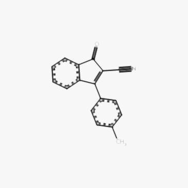 Cc1ccc(C2=C(C#N)C(=O)c3ccccc32)cc1